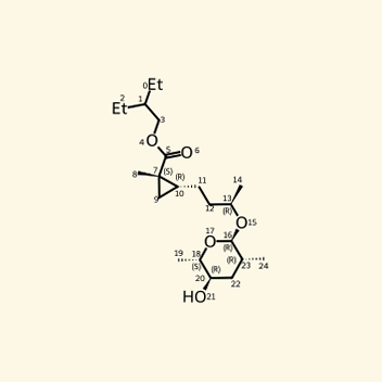 CCC(CC)COC(=O)[C@@]1(C)C[C@H]1CC[C@@H](C)O[C@@H]1O[C@@H](C)[C@H](O)C[C@H]1C